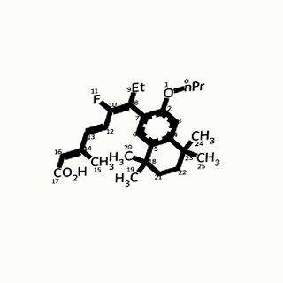 CCCOc1cc2c(cc1\C(CC)=C(F)/C=C/C(C)=C/C(=O)O)C(C)(C)CCC2(C)C